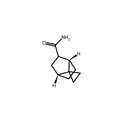 NC(=O)C1C[C@H]2CC[C@@H]1C21CC1